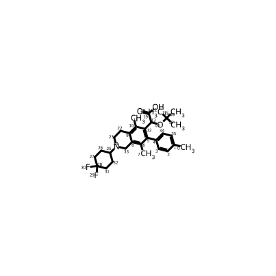 Cc1ccc(-c2c(C)c3c(c(C)c2C(OC(C)(C)C)C(=O)O)CCN(C2CCC(F)(F)CC2)C3)cc1